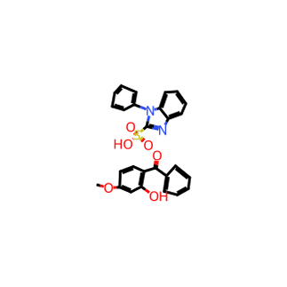 COc1ccc(C(=O)c2ccccc2)c(O)c1.O=S(=O)(O)c1nc2ccccc2n1-c1ccccc1